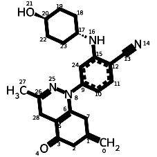 C=C1CC(=O)C2=C(C1)N(c1ccc(C#N)c(N[C@H]3CC[C@H](O)CC3)c1)N=C(C)C2